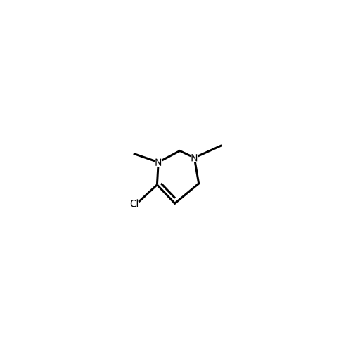 CN1CC=C(Cl)N(C)C1